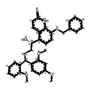 COc1ccc(C(NC[C@H](O)c2ccc(OCc3ccccc3)c3[nH]c(=O)ccc23)c2ccccc2OC)c(OC)c1